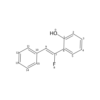 Oc1ccccc1C(F)=Cc1ccccc1